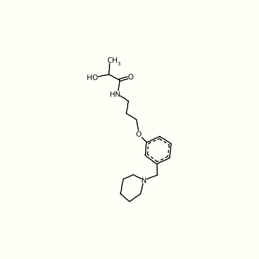 CC(O)C(=O)NCCCOc1cccc(CN2CCCCC2)c1